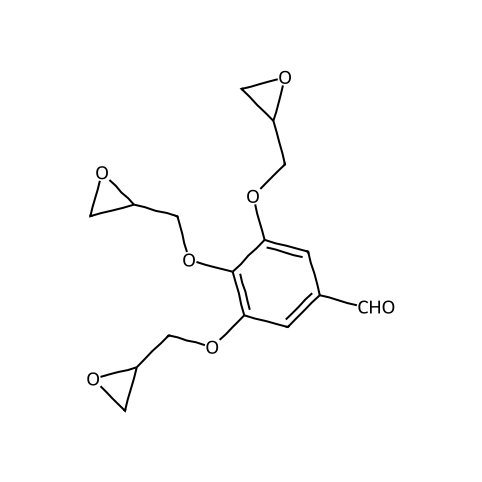 O=Cc1cc(OCC2CO2)c(OCC2CO2)c(OCC2CO2)c1